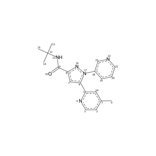 Cc1ccnc(-c2cc(C(=O)NC(C)(C)C)nn2-c2cccnc2)c1